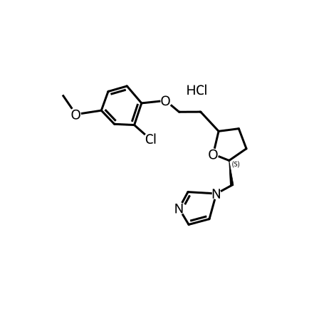 COc1ccc(OCCC2CC[C@@H](Cn3ccnc3)O2)c(Cl)c1.Cl